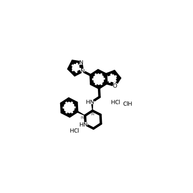 Cl.Cl.Cl.c1ccc([C@@H]2NCCC[C@@H]2NCc2cc(-n3cccn3)cc3ccoc23)cc1